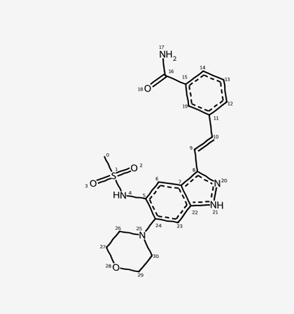 CS(=O)(=O)Nc1cc2c(C=Cc3cccc(C(N)=O)c3)n[nH]c2cc1N1CCOCC1